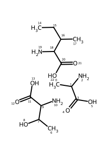 CC(N)C(=O)O.CC(O)C(N)C(=O)O.CCC(C)C(N)C(=O)O